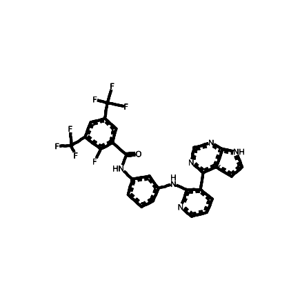 O=C(Nc1cccc(Nc2ncccc2-c2ncnc3[nH]ccc23)c1)c1cc(C(F)(F)F)cc(C(F)(F)F)c1F